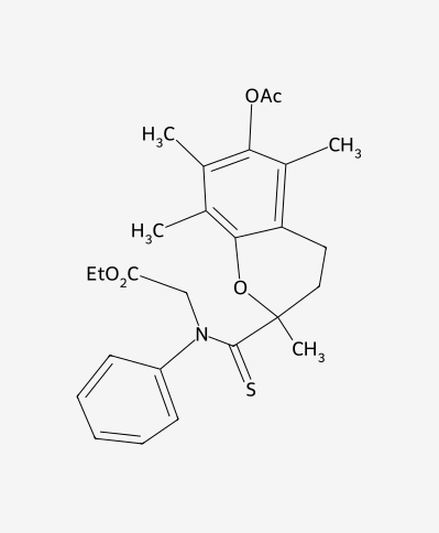 CCOC(=O)CN(C(=S)C1(C)CCc2c(C)c(OC(C)=O)c(C)c(C)c2O1)c1ccccc1